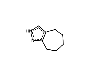 c1[nH]nc2c1CCCCC2